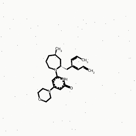 C=C/C=C(\C=C/C)C[C@H]1C[C@H](C)CCCN1c1cc(N2CCOCC2)cc(=O)[nH]1